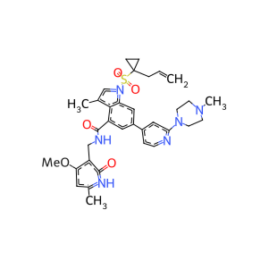 C=CCC1(S(=O)(=O)n2cc(C)c3c(C(=O)NCc4c(OC)cc(C)[nH]c4=O)cc(-c4ccnc(N5CCN(C)CC5)c4)cc32)CC1